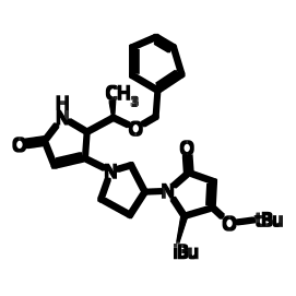 CC[C@H](C)C1C(OC(C)(C)C)=CC(=O)N1C1CCN(C2=CC(=O)NC2[C@@H](C)OCc2ccccc2)C1